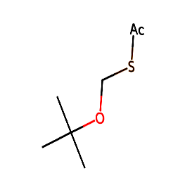 CC(=O)SCOC(C)(C)C